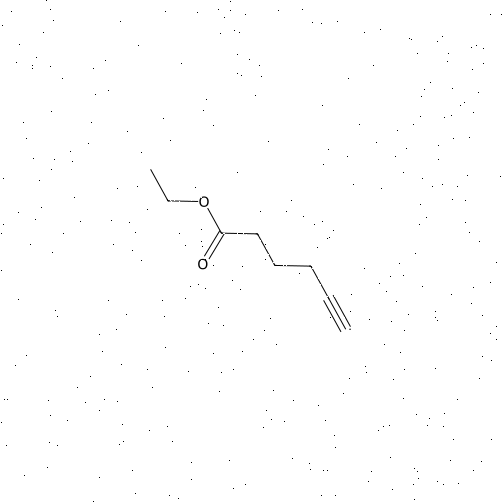 [C]#CCCCC(=O)OCC